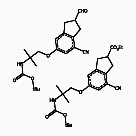 CC(C)(COc1cc(C#N)c2c(c1)CC(C=O)C2)NC(=O)OC(C)(C)C.CCOC(=O)C1Cc2cc(OCC(C)(C)NC(=O)OC(C)(C)C)cc(C#N)c2C1